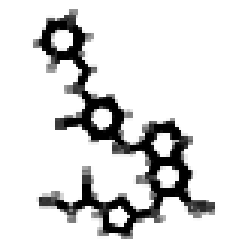 COc1cc2ncnc(Nc3ccc(OCc4cnccn4)c(Cl)c3)c2nc1OC1CCN(C(=O)OC(C)(C)C)C1